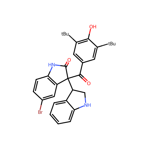 CC(C)(C)c1cc(C(=O)C2(C3CNc4ccccc43)C(=O)Nc3ccc(Br)cc32)cc(C(C)(C)C)c1O